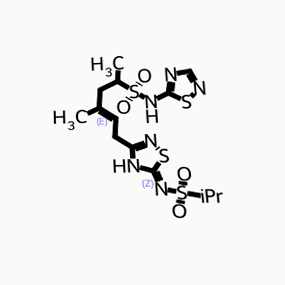 C/C(=C\Cc1ns/c(=N\S(=O)(=O)C(C)C)[nH]1)CC(C)S(=O)(=O)Nc1ncns1